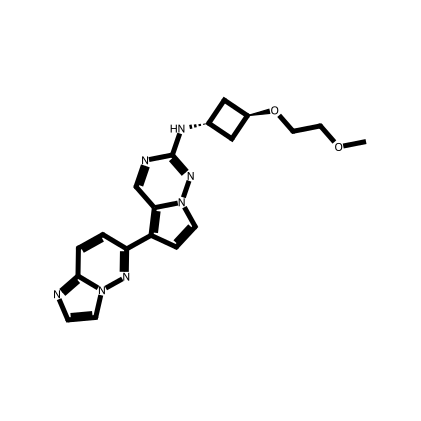 COCCO[C@H]1C[C@H](Nc2ncc3c(-c4ccc5nccn5n4)ccn3n2)C1